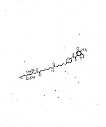 Nc1c(Cl)cc(C(=O)NC2CCN(CCCCCC(=O)NCCCCCC(=O)NC[C@H](O)[C@@H](O)[C@H](O)[C@H](O)CO)CC2)c2c1CCO2